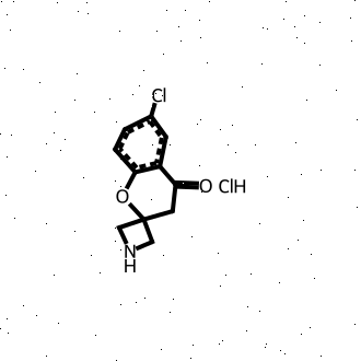 Cl.O=C1CC2(CNC2)Oc2ccc(Cl)cc21